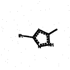 Cc1[c]c(C(C)C)n[nH]1